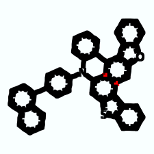 c1ccc(N(c2ccc(-c3cccc4ccccc34)cc2)c2ccc3c(c2)sc2ccccc23)c(-c2cccc3oc4ccccc4c23)c1